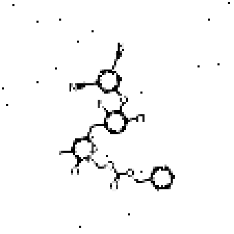 Cc1cc(Cc2ccc(Cl)c(Oc3cc(C#N)cc(C#N)c3)c2F)nn(COC(=O)OCc2ccccc2)c1=O